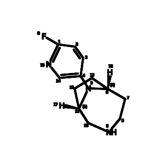 Fc1ccc(N2[C@H]3CCNC[C@@H]2CC3)cn1